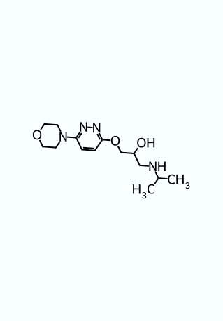 CC(C)NCC(O)COc1ccc(N2CCOCC2)nn1